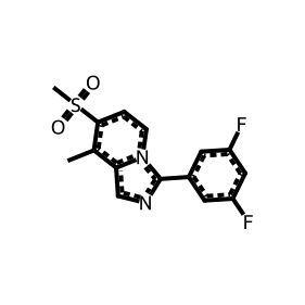 Cc1c(S(C)(=O)=O)ccn2c(-c3cc(F)cc(F)c3)ncc12